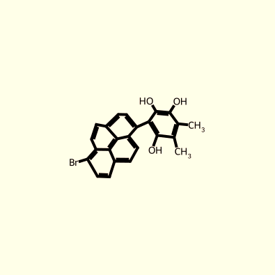 Cc1c(C)c(O)c(-c2ccc3ccc4c(Br)ccc5ccc2c3c54)c(O)c1O